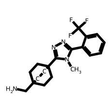 Cn1c(-c2ccccc2C(F)(F)F)nnc1C12CCC(CN)(CC1)CC2